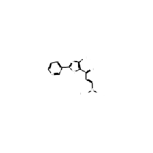 Cc1nc(-c2cccnc2)sc1C(=O)C=CN(C)C